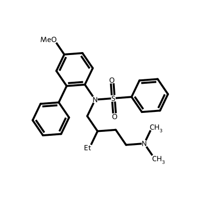 CCC(CCN(C)C)CN(c1ccc(OC)cc1-c1ccccc1)S(=O)(=O)c1ccccc1